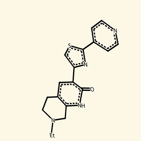 CCN1CCc2cc(-c3csc(-c4ccncc4)n3)c(=O)[nH]c2C1